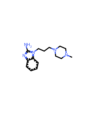 CN1CCN(CCCn2c(N)nc3ccccc32)CC1